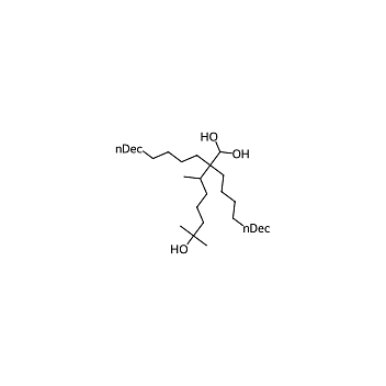 CCCCCCCCCCCCCCC(CCCCCCCCCCCCCC)(C(O)O)C(C)CCCC(C)(C)O